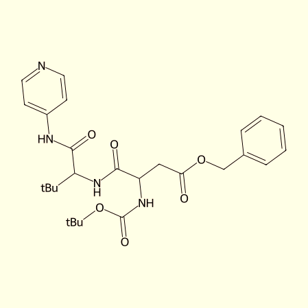 CC(C)(C)OC(=O)NC(CC(=O)OCc1ccccc1)C(=O)NC(C(=O)Nc1ccncc1)C(C)(C)C